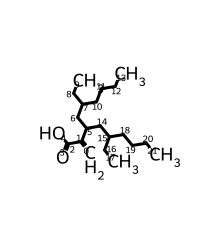 C=C(C(=O)O)C(CC(CC)CCCC)CC(CC)CCCC